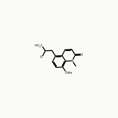 COc1ccc(CC(Cl)C(=O)O)c2ccc(=O)n(C)c12